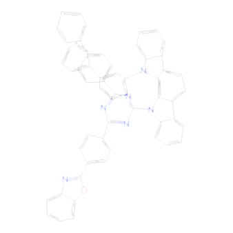 c1ccc(-c2ccc(-c3nc(-c4ccc(-c5nc6ccccc6o5)cc4)nc(-n4c5ccccc5c5ccc6c7ccccc7n(-c7cccc(-c8ccccc8)c7)c6c54)n3)cc2)cc1